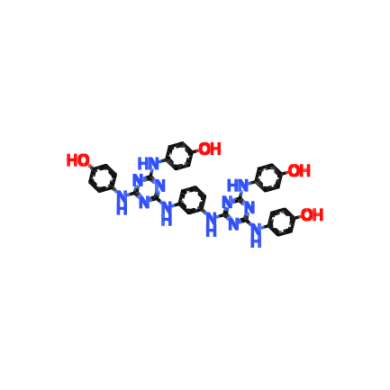 Oc1ccc(Nc2nc(Nc3ccc(O)cc3)nc(Nc3cccc(Nc4nc(Nc5ccc(O)cc5)nc(Nc5ccc(O)cc5)n4)c3)n2)cc1